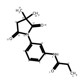 CCC(=O)Nc1cccc(N2C(=O)CC(C)(C)C2=O)c1